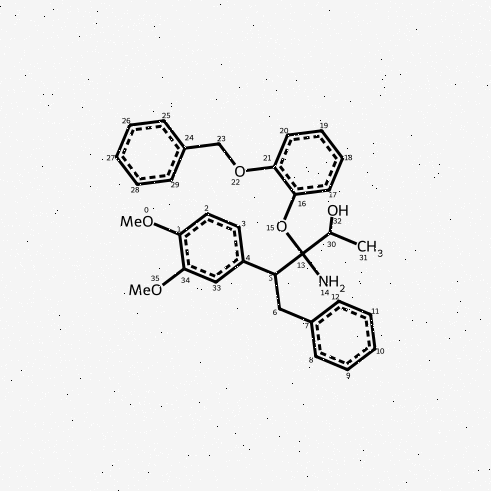 COc1ccc(C(Cc2ccccc2)C(N)(Oc2ccccc2OCc2ccccc2)C(C)O)cc1OC